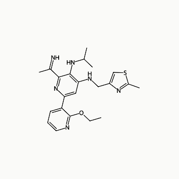 CCOc1ncccc1-c1cc(NCc2csc(C)n2)c(NC(C)C)c(C(C)=N)n1